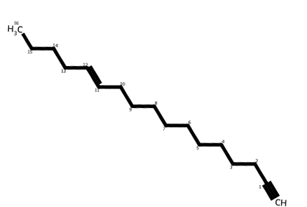 C#CCCCCCCCCCC=CCCCC